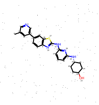 Cc1cncc(-c2ccc3nc(Nc4cccc(N[C@H]5CC[C@H](O)CC5)n4)sc3c2)c1